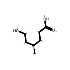 C[C@@H](CCO)CCC(=O)O